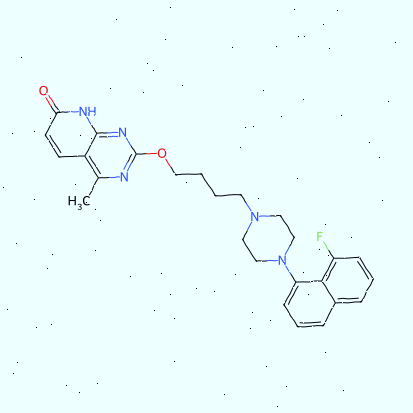 Cc1nc(OCCCCN2CCN(c3cccc4cccc(F)c34)CC2)nc2[nH]c(=O)ccc12